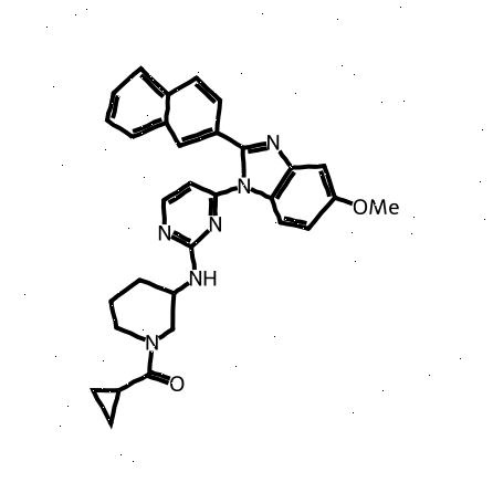 COc1ccc2c(c1)nc(-c1ccc3ccccc3c1)n2-c1ccnc(NC2CCCN(C(=O)C3CC3)C2)n1